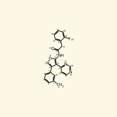 Cc1cccc(-c2noc(NC(=O)Cc3ccccc3F)c2-c2ccncn2)c1